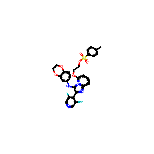 Cc1ccc(S(=O)(=O)OCCOc2cccc3nc(-c4c(F)cncc4F)c(Nc4ccc5c(c4)OCCO5)n23)cc1